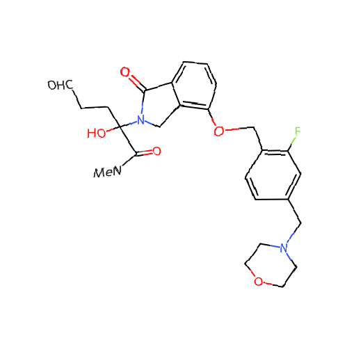 CNC(=O)C(O)(CCC=O)N1Cc2c(OCc3ccc(CN4CCOCC4)cc3F)cccc2C1=O